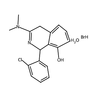 Br.CN(C)C1=NC(c2ccccc2Cl)c2c(O)cccc2C1.O